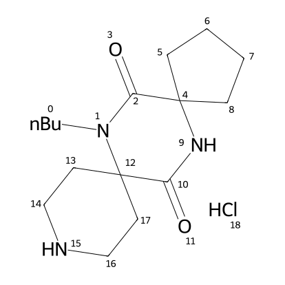 CCCCN1C(=O)C2(CCCC2)NC(=O)C12CCNCC2.Cl